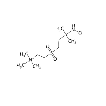 CC(C)(CCS(=O)(=O)CC[N+](C)(C)C)NCl